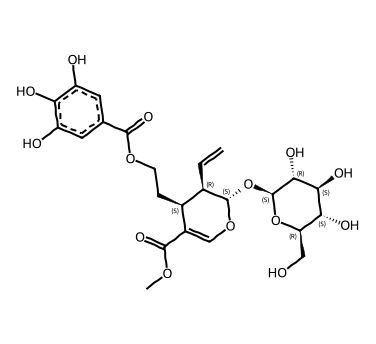 C=C[C@H]1[C@H](O[C@@H]2O[C@H](CO)[C@@H](O)[C@H](O)[C@H]2O)OC=C(C(=O)OC)[C@H]1CCOC(=O)c1cc(O)c(O)c(O)c1